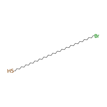 SCCCCCCCCCCCCCCCCCCCCCCCCCCCCCCCCCCCCBr